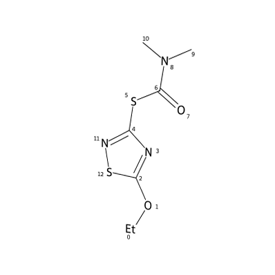 CCOc1nc(SC(=O)N(C)C)ns1